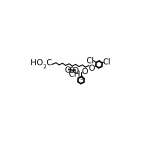 CS(=O)(=O)C(CCCCCCC(=O)O)CCCC(COc1ccc(Cl)cc1Cl)OCc1ccccc1